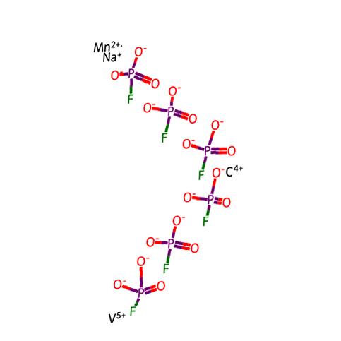 O=P([O-])([O-])F.O=P([O-])([O-])F.O=P([O-])([O-])F.O=P([O-])([O-])F.O=P([O-])([O-])F.O=P([O-])([O-])F.[C+4].[Mn+2].[Na+].[V+5]